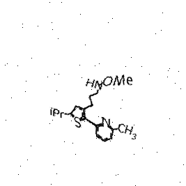 CONCCCc1cc(C(C)C)sc1-c1cccc(C)n1